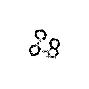 [O-][S+]1NN=Cc2ccccc21.c1cc[n+](-[n+]2ccccc2)cc1